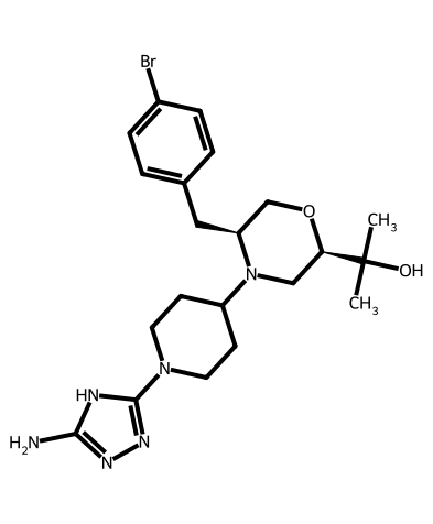 CC(C)(O)[C@H]1CN(C2CCN(c3nnc(N)[nH]3)CC2)[C@@H](Cc2ccc(Br)cc2)CO1